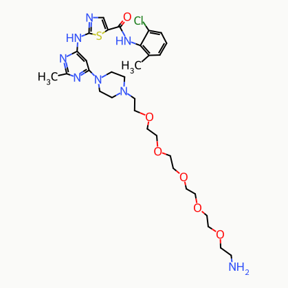 Cc1nc(Nc2ncc(C(=O)Nc3c(C)cccc3Cl)s2)cc(N2CCN(CCOCCOCCOCCOCCOCCN)CC2)n1